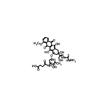 COc1cccc2c1C(=O)c1c(O)c3c(c(O)c1C2=O)C[C@@](O)(/C(CO)=N/NC(=S)NN)C[C@@H]3O[C@H]1C[C@H](NC(=O)CCC(=O)O)[C@H](O)[C@H](C)O1